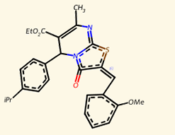 CCOC(=O)C1=C(C)N=c2s/c(=C/c3ccccc3OC)c(=O)n2C1c1ccc(C(C)C)cc1